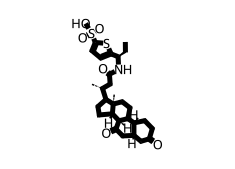 CC[C@@H](NC(=O)C[C@@H](C)C1CC[C@H]2[C@@H]3C(=O)C[C@@H]4CC(=O)CC[C@]4(C)[C@H]3CC[C@]12C)c1ccc(S(=O)(=O)O)s1